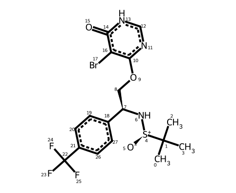 CC(C)(C)[S@@+]([O-])N[C@H](COc1nc[nH]c(=O)c1Br)c1ccc(C(F)(F)F)cc1